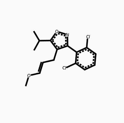 CO/C=C/Cc1c(-c2c(Cl)cccc2Cl)noc1C(C)C